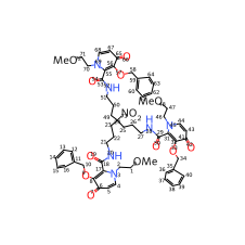 COCCn1ccc(=O)c(OCc2ccccc2)c1C(=O)NCCCC(CCCNC(=O)c1c(OCc2ccccc2)c(=O)ccn1CCOC)(CCCNC(=O)c1c(OCc2ccccc2)c(=O)ccn1CCOC)[N+](=O)[O-]